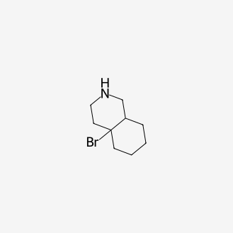 BrC12CCCCC1CNCC2